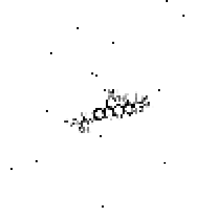 CCS(=O)(=O)Nc1nccc(Cc2c(CN(C)C)c3ccc(OC(=O)N(C)C)cc3oc2=O)c1F